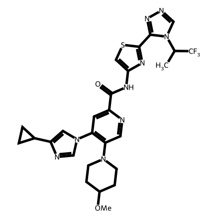 COC1CCN(c2cnc(C(=O)Nc3csc(-c4nncn4C(C)C(F)(F)F)n3)cc2-n2cnc(C3CC3)c2)CC1